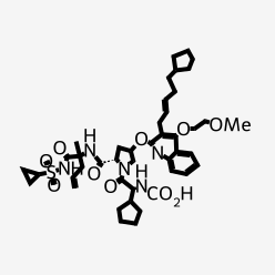 C=CCC(C)(NC(=O)[C@@H]1CC(Oc2nc3ccccc3c(OCCOC)c2C/C=C/CCC2CCCC2)CN1C(=O)[C@@H](NC(=O)O)C1CCCC1)C(=O)NS(=O)(=O)C1CC1